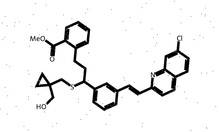 COC(=O)c1ccccc1CCC(SCC1(CO)CC1)c1cccc(C=Cc2ccc3ccc(Cl)cc3n2)c1